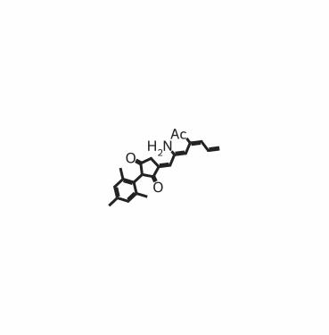 C=C\C=C(/C=C(N)/C=C1\CC(=O)C(c2c(C)cc(C)cc2C)C1=O)C(C)=O